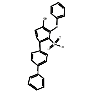 O=S(=O)(O)c1c(-c2ccc(-c3ccccc3)cc2)ccc(S)c1Oc1ccccc1